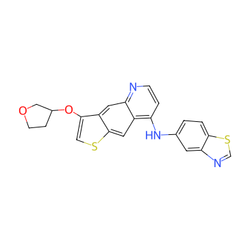 c1cc(Nc2ccc3scnc3c2)c2cc3scc(OC4CCOC4)c3cc2n1